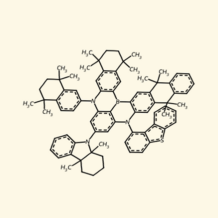 CC1(C)CCC(C)(C)c2cc(N3c4cc5c(cc4B4c6cc7c(cc6N(c6cccc8sc9ccccc9c68)c6cc(N8c9ccccc9C9(C)CCCCC89C)cc3c64)C(C)(C)c3ccccc3C7(C)C)C(C)(C)CCC5(C)C)ccc21